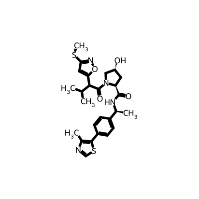 CSc1cc(C(C(=O)N2C[C@H](O)C[C@H]2C(=O)N[C@@H](C)c2ccc(-c3scnc3C)cc2)C(C)C)on1